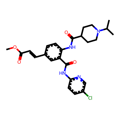 COC(=O)C=Cc1ccc(NC(=O)C2CCN(C(C)C)CC2)c(C(=O)Nc2ccc(Cl)cn2)c1